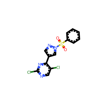 O=S(=O)(c1ccccc1)n1cc(-c2nc(Cl)ncc2Cl)cn1